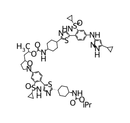 CC(C)OC(=O)N[C@H]1CC[C@H](c2ncc(-c3ccc(N4CCC(CC(C)OC(=O)NC5CCC(c6ncc(-c7ccc(Nc8cc(C9CC9)[nH]n8)cc7S(=N)(=O)C7CC7)s6)CC5)O4)cc3S(=N)(=O)C3CC3)s2)CC1